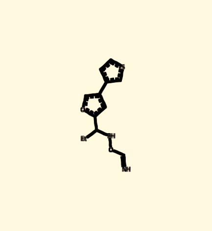 CCC(BOC=N)c1cc(-c2ccsc2)co1